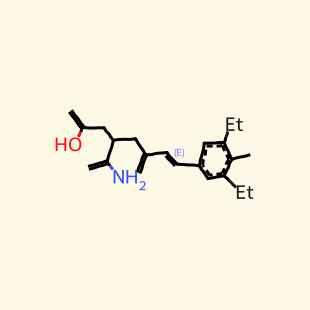 C=C(O)CC(CC(=C)/C=C/c1cc(CC)c(C)c(CC)c1)C(=C)N